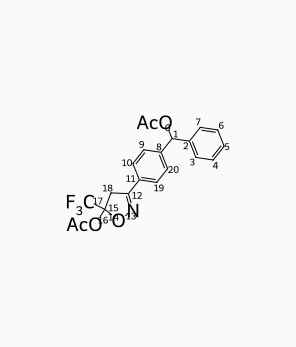 CC(=O)OC(c1ccccc1)c1ccc(C2=NOC(OC(C)=O)(C(F)(F)F)C2)cc1